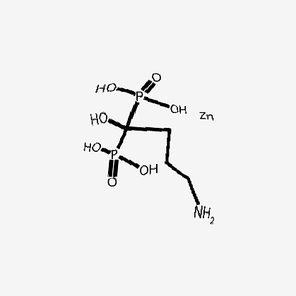 NCCCC(O)(P(=O)(O)O)P(=O)(O)O.[Zn]